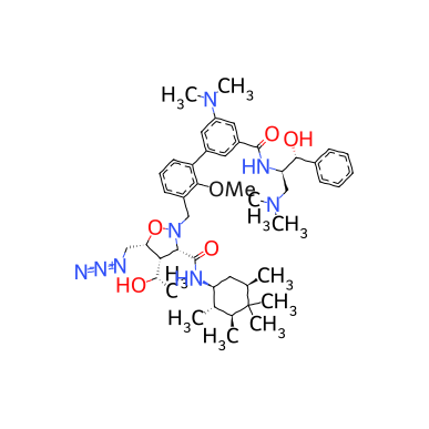 COc1c(CN2O[C@@H](CN=[N+]=[N-])[C@@H]([C@H](C)O)[C@H]2C(=O)N[C@H]2C[C@@H](C)C(C)(C)[C@@H](C)[C@@H]2C)cccc1-c1cc(C(=O)N[C@H](CN(C)C)[C@H](O)c2ccccc2)cc(N(C)C)c1